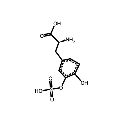 N[C@@H](Cc1ccc(O)c(OS(=O)(=O)O)c1)C(=O)O